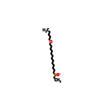 CCCCCOCCCCCCCCCCCCC[S+]([O-])CC